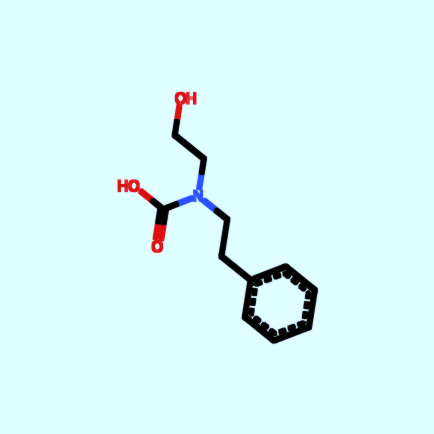 O=C(O)N(CCO)CCc1ccccc1